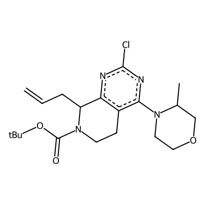 C=CCC1c2nc(Cl)nc(N3CCOCC3C)c2CCN1C(=O)OC(C)(C)C